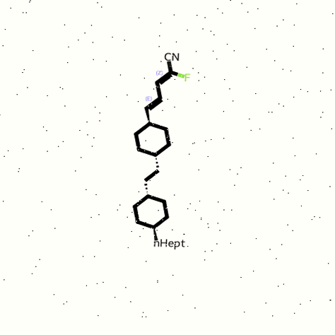 CCCCCCC[C@H]1CC[C@H](CC[C@H]2CC[C@H](/C=C/C=C(\F)C#N)CC2)CC1